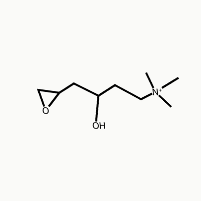 C[N+](C)(C)CCC(O)CC1CO1